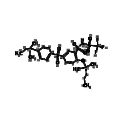 CCCC(C)(C)Oc1ccc(S(=O)(=O)c2ccc(C(C)(C)CC)cc2)cc1S(=O)(=O)NS(=O)(=O)C(F)(F)F